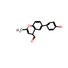 CC1=CC(C=O)c2cc(-c3ccc(Br)cc3)ccc2O1